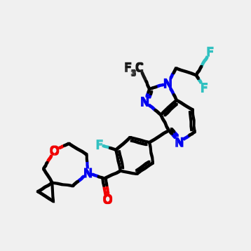 O=C(c1ccc(-c2nccc3c2nc(C(F)(F)F)n3CC(F)F)cc1F)N1CCOCC2(CC2)C1